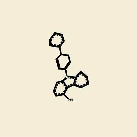 Nc1cccc2c1c1ccccc1n2C1=CCC(c2ccccc2)C=C1